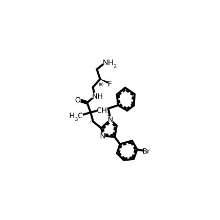 CC(C)([CH]c1nc(-c2cccc(Br)c2)cn1Cc1ccccc1)C(=O)NC[C@H](F)CN